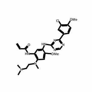 C=CC(=O)Nc1cc(Nc2ncnc(-c3ccc(OC)c(Cl)c3)n2)c(OC)cc1N(C)CCN(C)C